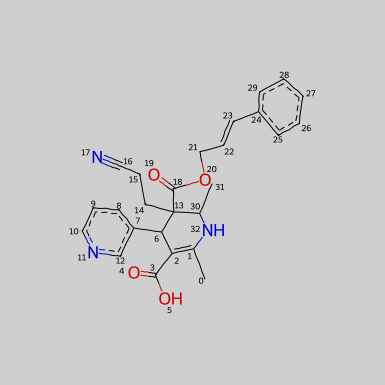 CC1=C(C(=O)O)C(c2cccnc2)C(CCC#N)(C(=O)OCC=Cc2ccccc2)C(C)N1